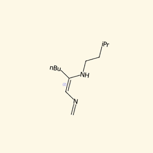 C=N/C=C(/CCCC)NCCC(C)C